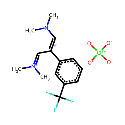 CN(C)/C=C(\C=[N+](C)C)c1cccc(C(F)(F)F)c1.[O-][Cl+3]([O-])([O-])[O-]